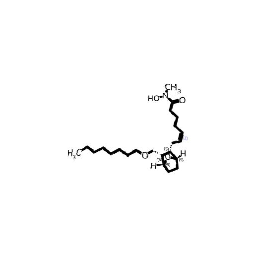 CCCCCCCCOC[C@@H]1[C@H](C/C=C\CCCC(=O)N(C)O)[C@@H]2CC[C@H]1O2